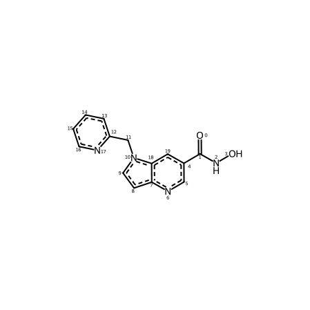 O=C(NO)c1cnc2ccn(Cc3ccccn3)c2c1